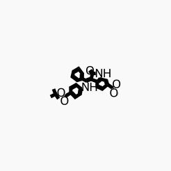 COC(=O)c1ccc2c(c1)NC(=O)C2=C(Nc1ccc(C(=O)OC(C)(C)C)cc1)c1ccccc1